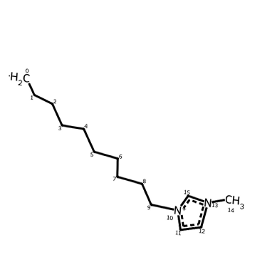 [CH2]CCCCCCCCC[n+]1ccn(C)c1